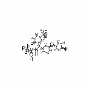 O[C@H](CNC(c1cccc(Oc2ccc(F)cc2)c1)c1cc(C(F)(F)F)ccc1F)C(F)(F)F